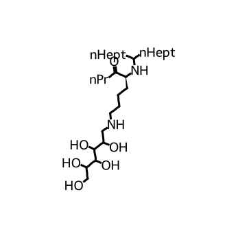 CCCCCCCC(CCCCCCC)N[C@@H](CCCCNCC(O)C(O)C(O)C(O)CO)C(=O)CCC